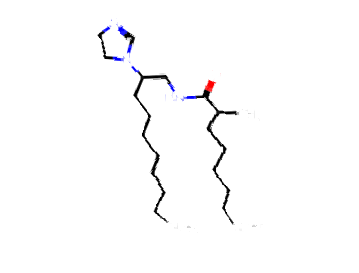 CCCCCCCCCCCCCCCCCC(CNC(=O)C(C)CCCCCCCCCCCCCCC)N1C=NCC1